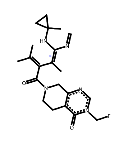 C=N/C(NC1(C)CC1)=C(\C)C(C(=O)N1CCc2c(ncn(CF)c2=O)C1)=C(C)C